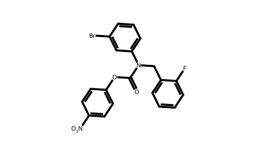 O=C(Oc1ccc([N+](=O)[O-])cc1)N(Cc1cc[c]cc1F)c1cccc(Br)c1